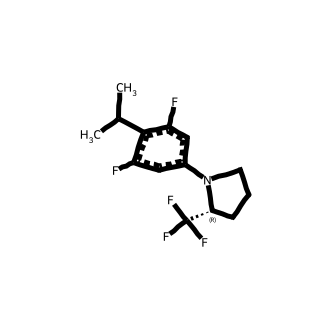 CC(C)c1c(F)cc(N2CCC[C@@H]2C(F)(F)F)cc1F